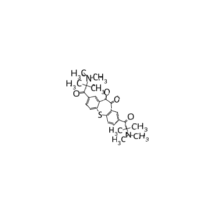 CN(C)C(C)(C)C(=O)c1ccc2sc3ccc(C(=O)C(C)(C)N(C)C)cc3c(=O)c(=O)c2c1